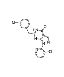 O=c1[nH]c(Cc2cccc(Cl)c2)nc2c1cnn2-c1ncccc1Cl